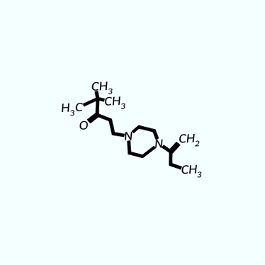 C=C(CC)N1CCN(CCC(=O)C(C)(C)C)CC1